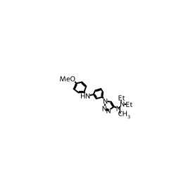 CCN(CC)N(C)c1cn(-c2cccc(Nc3ccc(OC)cc3)c2)nn1